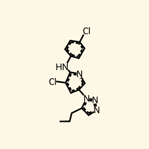 CCCc1cnnn1-c1cnc(Nc2ccc(Cl)cc2)c(Cl)c1